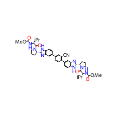 COC(=O)N[C@H](C(=O)N1CCC[C@H]1c1nc2cc(-c3ccc(-c4ccc5[nH]c([C@@H]6CCCN6C(=O)[C@@H](NC(=O)OC)C(C)C)nc5c4)c(C#N)c3)ccc2[nH]1)C(C)C